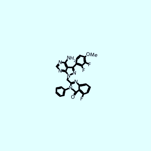 COc1ccc(-c2nn(Cc3nc4cccc(F)c4c(=O)n3-c3ccccc3)c3ncnc(N)c23)c(F)c1F